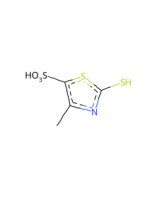 Cc1nc(S)sc1S(=O)(=O)O